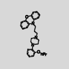 CCCOc1ccccc1N1CCN(CCCN2c3ccccc3Oc3ccccc32)CC1